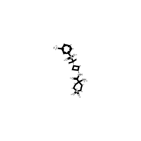 CC(C)([C@H]1C[C@@H](NC(=O)C2(N)CCS(=O)(=O)CC2)C1)S(=O)(=O)c1cccc(C(F)(F)F)c1